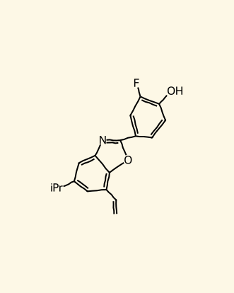 C=Cc1cc(C(C)C)cc2nc(-c3ccc(O)c(F)c3)oc12